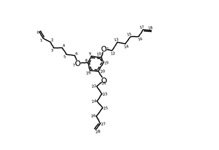 C=CCCCCCOc1cc(OCCCCCC=C)cc(OCCCCCC=C)c1